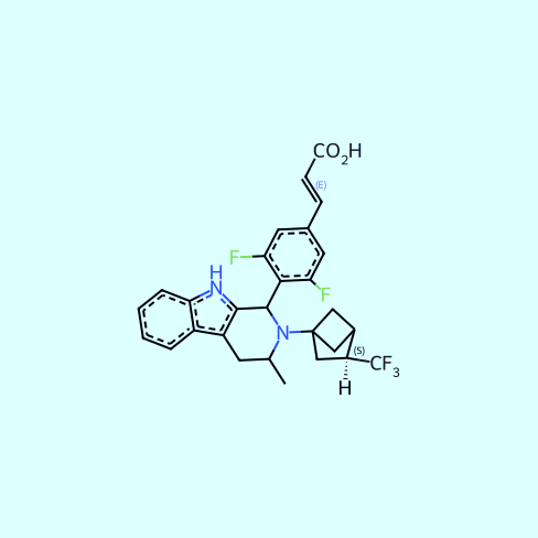 CC1Cc2c([nH]c3ccccc23)C(c2c(F)cc(/C=C/C(=O)O)cc2F)N1C12CC(C1)[C@@H](C(F)(F)F)C2